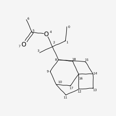 CCC(C)(OC(C)=O)C12CC3CC4CC(C1)C4(C3)C2